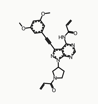 C=CC(=O)Nc1ncnc2c1c(C#Cc1cc(OC)cc(OC)c1)nn2C1CCN(C(=O)C=C)C1